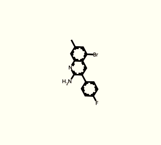 Cc1cc(Br)c2cc(-c3ccc(F)cc3)c(N)nc2c1